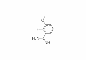 COc1cccc(C(=N)N)c1F